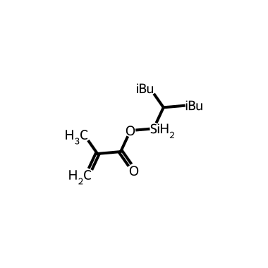 C=C(C)C(=O)O[SiH2]C(C(C)CC)C(C)CC